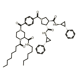 CCCCCCCC(=O)N1CCN(C(=O)c2ccc(C(=O)N3C[C@@H](C(=O)N[C@H]4C[C@@H]4c4ccccc4)[C@H](C(=O)N[C@H]4C[C@@H]4c4ccccc4)C3)cc2)CC1C(=O)NCCCCCC